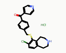 Cl.O=C(c1ccncc1)c1ccc(CSc2c(Cl)ccc3c2CCNCC3)cc1